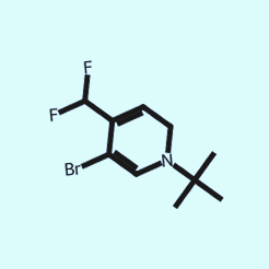 CC(C)(C)N1C=C(Br)C(C(F)F)=CC1